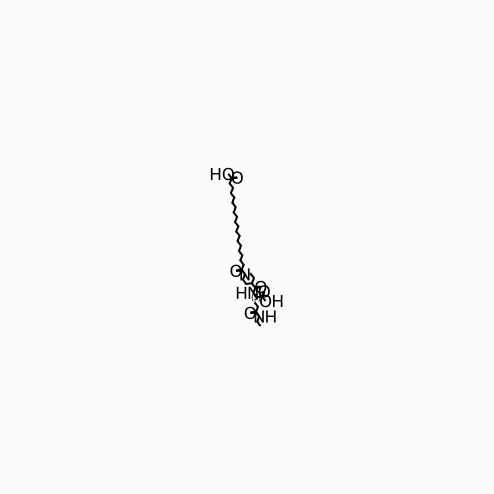 CCNC(=O)CC[C@H](NC(=O)C1CCN(C(=O)CCCCCCCCCCCCCCCCCCC(=O)O)CC1)C(=O)O